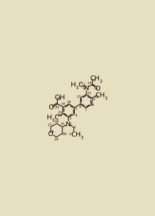 CCN(c1cc(-c2ccc(C)c(N(C)C(C)=O)c2)cc(C(=O)O)c1C)C1CCOCC1